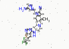 Cc1c(CN2CCC(Nc3ncnc4sc(CC(F)(F)F)cc34)CC2)ccc2c1cc(C#N)n2CCn1cc(N)cn1